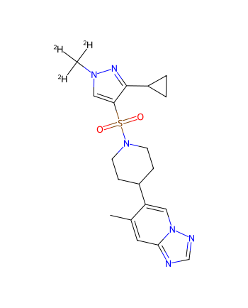 [2H]C([2H])([2H])n1cc(S(=O)(=O)N2CCC(c3cn4ncnc4cc3C)CC2)c(C2CC2)n1